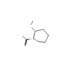 CNC1CCCC[C@H]1C(C)=O